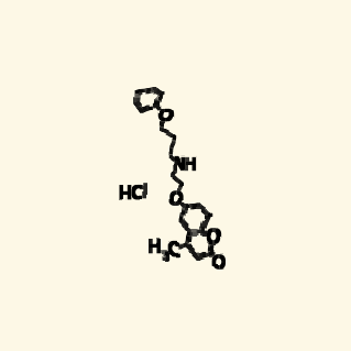 Cc1cc(=O)oc2ccc(OCCNCCCOc3ccccc3)cc12.Cl